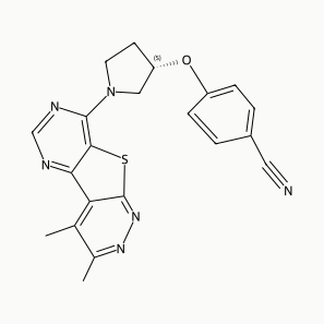 Cc1nnc2sc3c(N4CC[C@H](Oc5ccc(C#N)cc5)C4)ncnc3c2c1C